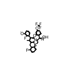 COc1cccc(-c2c(C)c(Cc3c(F)cccc3F)c3n(c2=O)C(/C(=N/O)c2ccc(OC(F)(F)F)cc2)CS3)c1F